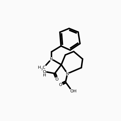 CN(Cc1ccccc1)C1(C(=O)O)CCCCN1C(=O)O